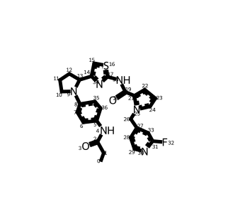 CCC(=O)Nc1ccc(N2CCCC2c2csc(NC(=O)c3cccn3Cc3ccnc(F)c3)n2)cc1